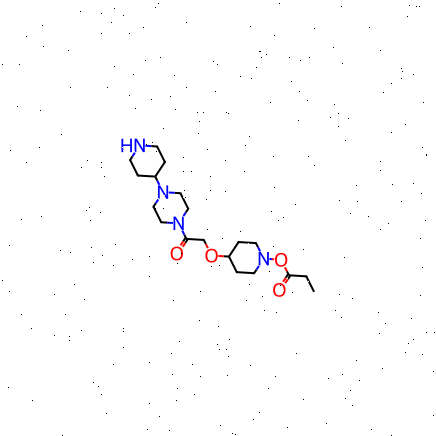 CCC(=O)ON1CCC(OCC(=O)N2CCN(C3CCNCC3)CC2)CC1